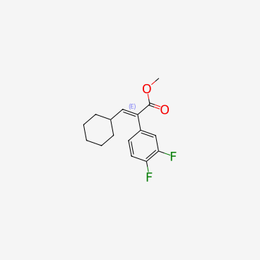 COC(=O)/C(=C/C1CCCCC1)c1ccc(F)c(F)c1